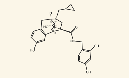 O=C(NCc1ccc(O)cc1O)[C@H]1C[C@]23CCN(CC4CC4)[C@H](Cc4ccc(O)cc42)[C@]3(O)C1